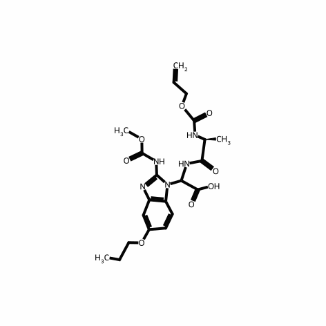 C=CCOC(=O)N[C@@H](C)C(=O)NC(C(=O)O)n1c(NC(=O)OC)nc2cc(OCCC)ccc21